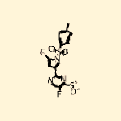 Cc1ccc(S(=O)(=O)n2cc(-c3ncc(F)c([S+](C)[O-])n3)cc2F)cc1